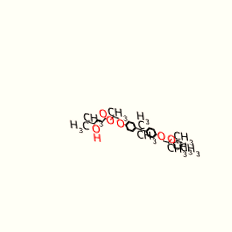 CCC(C)(C)OC(C)COc1ccc(C(C)(C)c2ccc(OCC(C)OC(=O)/C=C/C(O)C(C)C)cc2)cc1